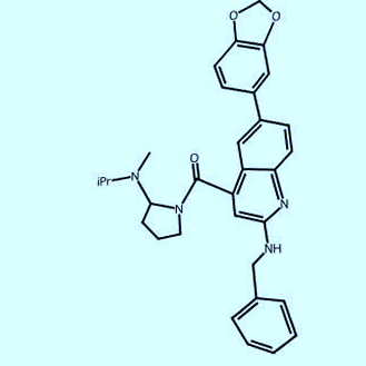 CC(C)N(C)C1CCCN1C(=O)c1cc(NCc2ccccc2)nc2ccc(-c3ccc4c(c3)OCO4)cc12